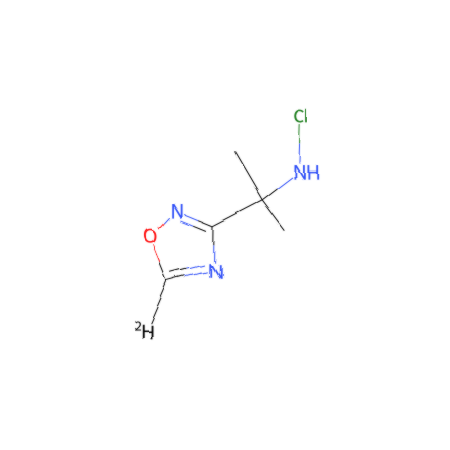 [2H]c1nc(C(C)(C)NCl)no1